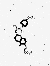 CCCN(C[C@H]1CCc2c(ccc(OCC(=O)O)c2C)S1)[S+]([O-])c1ccc(OC(F)(F)F)cc1